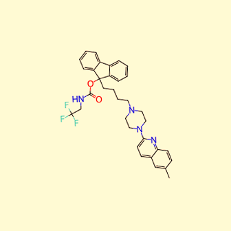 Cc1ccc2nc(N3CCN(CCCCC4(OC(=O)NCC(F)(F)F)c5ccccc5-c5ccccc54)CC3)ccc2c1